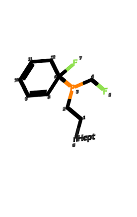 CCCCCCCCCP(CF)C1(F)C=CC=CC1